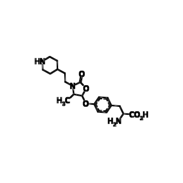 CC1C(Oc2ccc(CC(N)C(=O)O)cc2)OC(=O)N1CCC1CCNCC1